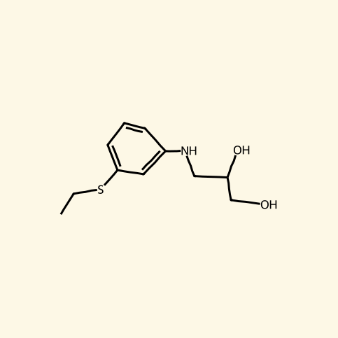 CCSc1cccc(NCC(O)CO)c1